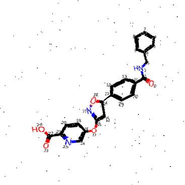 O=C(NCc1ccccc1)c1ccc([C@H]2CC(Oc3ccc(C(=O)O)nc3)=NO2)cc1